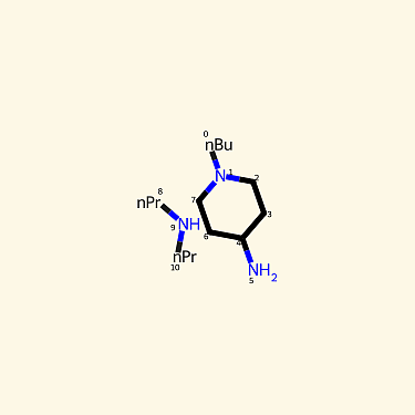 CCCCN1CCC(N)CC1.CCCNCCC